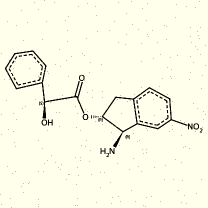 N[C@@H]1c2cc([N+](=O)[O-])ccc2C[C@H]1OC(=O)[C@@H](O)c1ccccc1